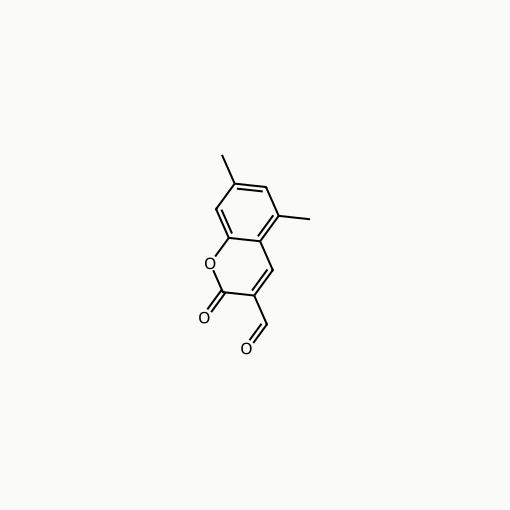 Cc1cc(C)c2cc(C=O)c(=O)oc2c1